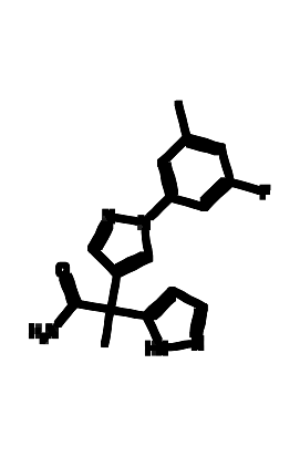 Cc1cc(F)cc(-n2cc(C(C)(C(N)=O)c3ccn[nH]3)cn2)c1